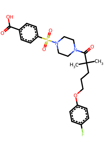 CC(C)(CCCOc1ccc(F)cc1)C(=O)N1CCN(S(=O)(=O)c2ccc(C(=O)O)cc2)CC1